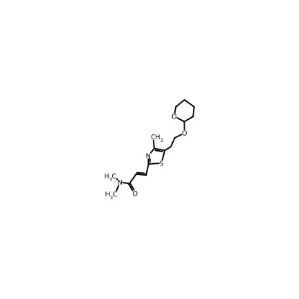 Cc1nc(C=CC(=O)N(C)C)sc1CCOC1CCCCO1